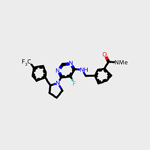 CNC(=O)c1cccc(CNc2ncnc(N3CCCC3c3ccc(C(F)(F)F)cc3)c2F)c1